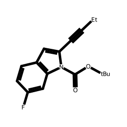 CCC#Cc1cc2ccc(F)cc2n1C(=O)OC(C)(C)C